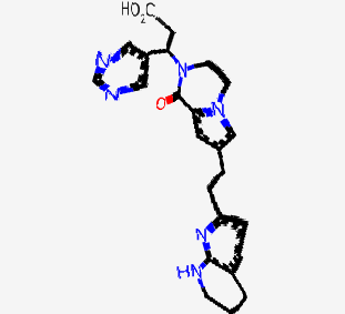 O=C(O)CC(c1cncnc1)N1CCn2cc(CCc3ccc4c(n3)NCCC4)cc2C1=O